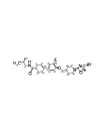 CC(F)CNC(=O)C1CC=C(c2ccc(OCC3CCN(c4nc(C(C)C)no4)CC3)c(F)c2)CC1